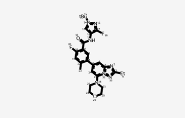 CCc1nc2cc(-c3cc(C(=O)Nc4cn(C(C)(C)C)nc4F)c(F)cc3C)cc(N3CCOCC3)n2n1